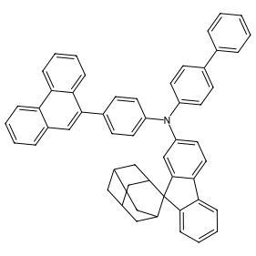 c1ccc(-c2ccc(N(c3ccc(-c4cc5ccccc5c5ccccc45)cc3)c3ccc4c(c3)C3(c5ccccc5-4)C4CC5CC(C4)CC3C5)cc2)cc1